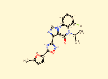 Cc1ccc(-c2nc(-c3ncn4c3c(=O)n(C(C)C)c3c(F)cccc34)no2)o1